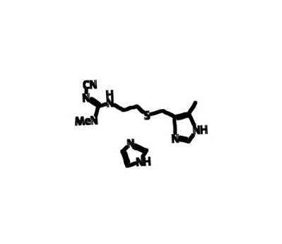 CN/C(=N/C#N)NCCSCc1nc[nH]c1C.c1c[nH]cn1